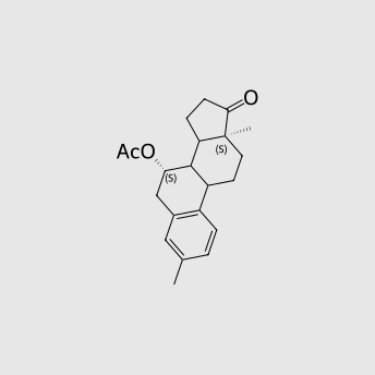 CC(=O)O[C@H]1Cc2cc(C)ccc2C2CC[C@]3(C)C(=O)CCC3C21